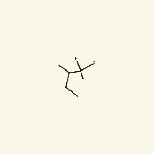 [CH2]CC(C)C(F)(F)F